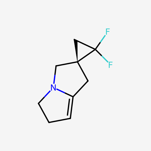 FC1(F)C[C@]12CC1=CCCN1C2